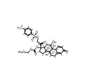 CCCC(C)COC(=O)O[C@]1(C(=O)COS(=O)(=O)c2ccc(C)cc2)CC[C@H]2[C@@H]3CCC4=CC(=O)C=C[C@]4(C)[C@H]3C(O)C[C@@]21C